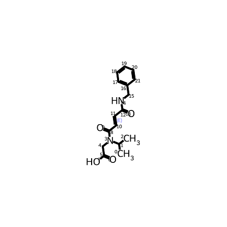 CC(C)N(CC(=O)O)C(=O)/C=C/C(=O)NCc1ccccc1